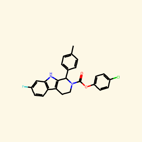 Cc1ccc(C2c3[nH]c4cc(F)ccc4c3CCN2C(=O)Oc2ccc(Cl)cc2)cc1